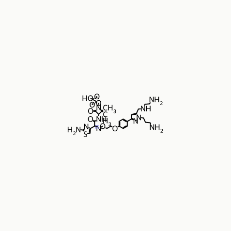 CC1(C)C(NC(=O)/C(=N\OCCOc2ccc(-c3cc(CNCCN)n(CCCN)n3)cc2)c2csc(N)n2)C(=O)N1OS(=O)(=O)O